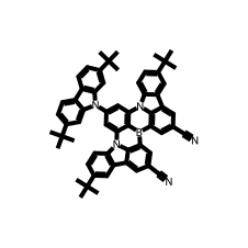 CC(C)(C)c1ccc2c(c1)c1cc(C#N)cc3c1n2-c1cc(-n2c4cc(C(C)(C)C)ccc4c4ccc(C(C)(C)C)cc42)cc2c1B3c1cc(C#N)cc3c4cc(C(C)(C)C)ccc4n-2c13